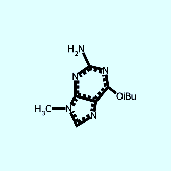 CC(C)COc1nc(N)nc2c1ncn2C